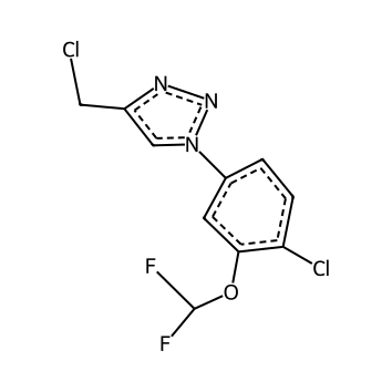 FC(F)Oc1cc(-n2cc(CCl)nn2)ccc1Cl